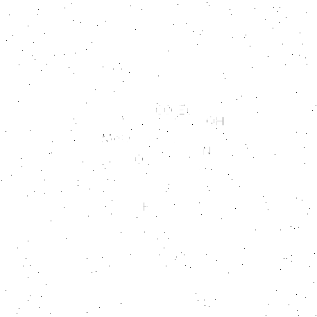 CCOC(=O)c1cc(CCC(=O)OC)c2cc(Cc3ccc(F)cc3)cnc2c1O